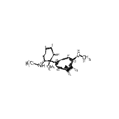 CN[C@H]1CCCCC1(O)c1cccc(OC)c1